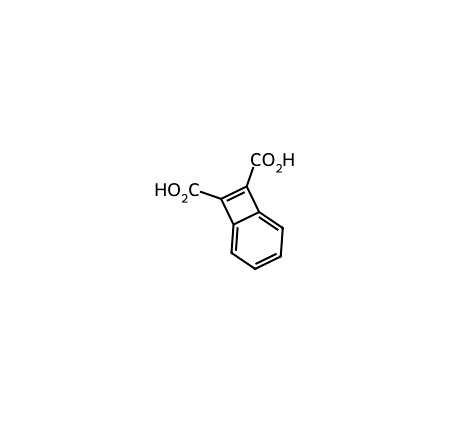 O=C(O)C1=C(C(=O)O)c2ccccc21